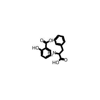 NC(Cc1ccccc1)C(=O)O.O=C(O)c1ccccc1O